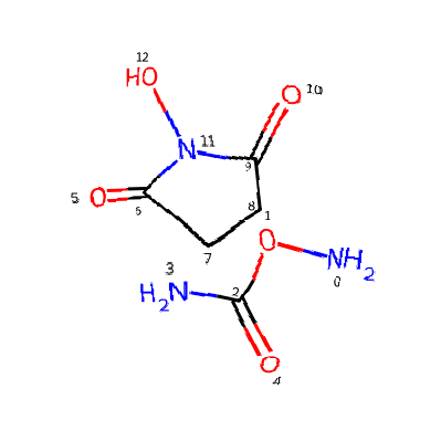 NOC(N)=O.O=C1CCC(=O)N1O